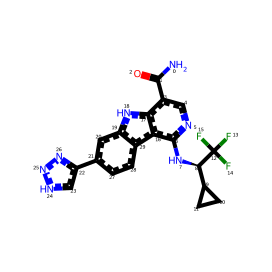 NC(=O)c1cnc(N[C@H](C2CC2)C(F)(F)F)c2c1[nH]c1cc(-c3c[nH]nn3)ccc12